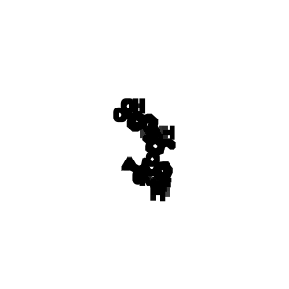 CCC1CC(OCc2c(-c3ccccc3OC(F)(F)F)noc2C2CC2)CC(C)C1Nc1ccc2cc(C(=O)O)ccc2n1